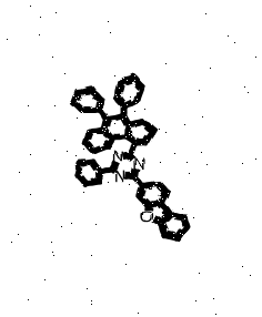 c1ccc(-c2nc(-c3ccc4c(c3)oc3ccccc34)nc(-c3cccc4c(-c5ccccc5)c(-c5ccccc5)c5ccccc5c34)n2)cc1